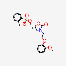 COc1ccccc1OCCN1C[C@H](COS(=O)(=O)c2ccccc2C)OC1=O